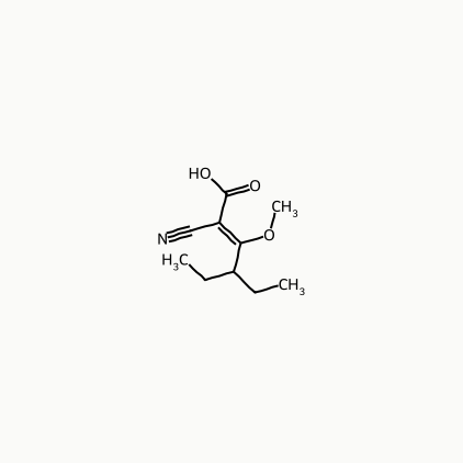 CCC(CC)C(OC)=C(C#N)C(=O)O